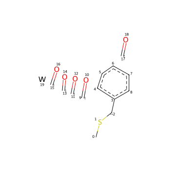 CS[C]c1ccccc1.[C]=O.[C]=O.[C]=O.[C]=O.[C]=O.[W]